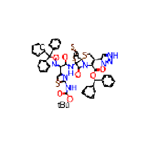 CC(C)(C)OC(=O)Nc1nc(/C(=N/OC(c2ccccc2)(c2ccccc2)c2ccccc2)C(=O)N[C@]2(SC=S)C(=O)N3C(C(=O)OC(c4ccccc4)c4ccccc4)=C(c4c[nH]nn4)CS[C@H]32)cs1